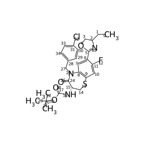 CCC1COC(c2cc3c(cc2F)SC[C@H](NC(=O)OC(C)(C)C)C(=O)N3Cc2ccc(Cl)cc2)=N1